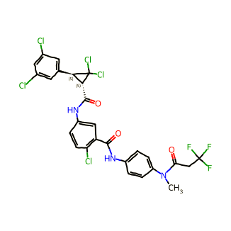 CN(C(=O)CC(F)(F)F)c1ccc(NC(=O)c2cc(NC(=O)[C@@H]3[C@@H](c4cc(Cl)cc(Cl)c4)C3(Cl)Cl)ccc2Cl)cc1